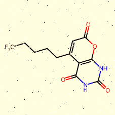 O=c1[nH]c(=O)c2c(CCCCC(F)(F)F)cc(=O)oc2[nH]1